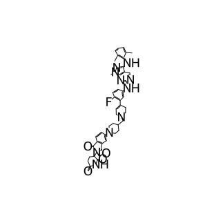 Cc1cccc(C)c1Nc1nn(C)c2nc(Nc3ccc(F)c(C4=CCN(CC5CCN(c6ccc7c(c6)C(=O)N(C6CCC(=O)NC6=O)C7=O)CC5)CC4)c3)ncc12